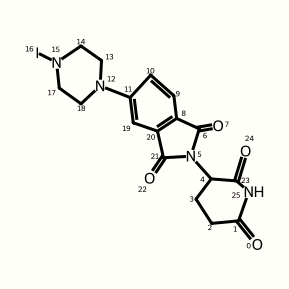 O=C1CCC(N2C(=O)c3ccc(N4CCN(I)CC4)cc3C2=O)C(=O)N1